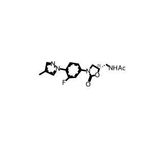 CC(=O)NC[C@H]1CN(c2ccc(-n3cc(C)cn3)c(F)c2)C(=O)O1